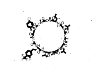 CC[C@H](C)[C@@H]1NC(=O)[C@H](CC(C)C)N(C)C(=O)C[C@@H](C)N(C)C(=O)[C@H](CC(C)C)NC(=O)C(C)(C)N(C)C(=O)[C@H](C(C)C)NC(=O)[C@H](CCc2ccc(C(F)(F)F)c(F)c2)NC(=O)CN(C)C(=O)[C@H](Cc2ccc(Cl)cc2)N(C)C(=O)CN(C)C(=O)CN(C)C1=O